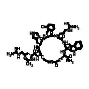 CC(=O)N[C@H](CCCNC(=N)N)C(=O)N[C@H]1CCCNC(=O)CCC(C(N)=O)NC(=O)[C@H](Cc2c[nH]c3ccccc23)NC(=O)[C@H](CCCNC(=N)N)NC(=O)[C@@H](Cc2ccccc2Cl)NC(=O)[C@H](Cc2c[nH]cn2)NC1=O